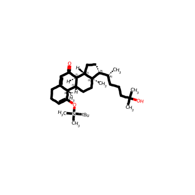 C[C@H](CCCC(C)(C)O)[C@H]1CC[C@H]2[C@@H]3C(=O)C=C4CCC=C(O[Si](C)(C)C(C)(C)C)[C@]4(C)[C@H]3CC[C@]12C